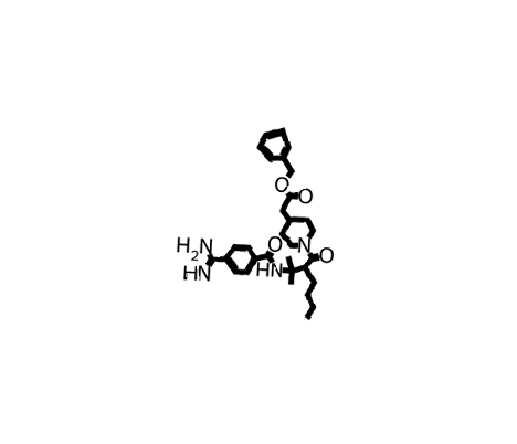 CCCCC(C(=O)N1CCC(CC(=O)OCc2ccccc2)CC1)C(C)(C)NC(=O)c1ccc(C(=N)N)cc1